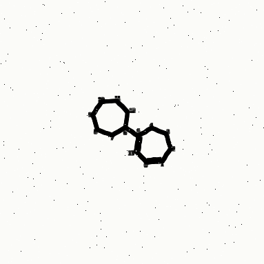 C1=CCCCC(C2CCCCCC2)=C1